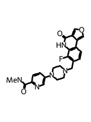 CNC(=O)c1ccc(N2CCN(Cc3ccc4c([nH]c(=O)c5cocc54)c3F)CC2)cn1